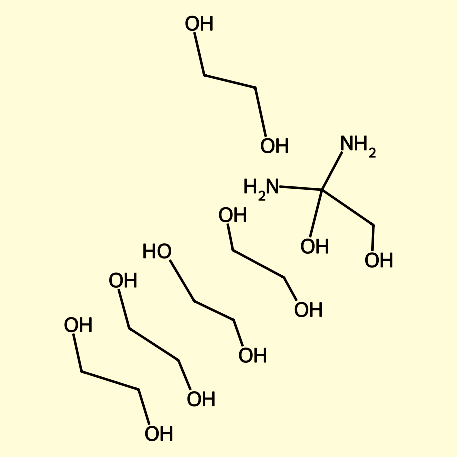 NC(N)(O)CO.OCCO.OCCO.OCCO.OCCO.OCCO